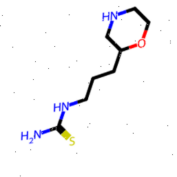 NC(=S)NCCCC1CNCCO1